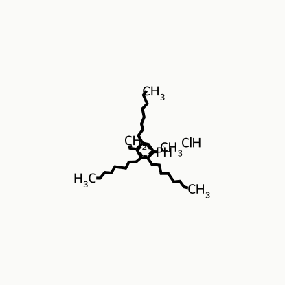 C=Cc1c(CCCCCCCC)cc(PC)c(CCCCCCCC)c1CCCCCCCC.Cl